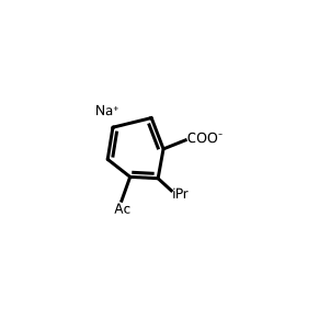 CC(=O)c1cccc(C(=O)[O-])c1C(C)C.[Na+]